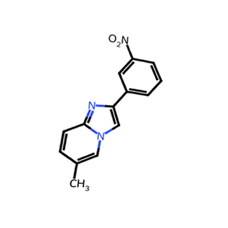 Cc1ccc2nc(-c3cccc([N+](=O)[O-])c3)cn2c1